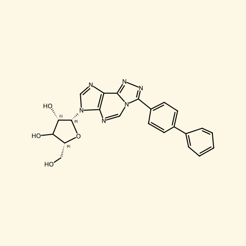 OC[C@H]1O[C@@H](n2cnc3c2ncn2c(-c4ccc(-c5ccccc5)cc4)nnc32)[C@@H](O)C1O